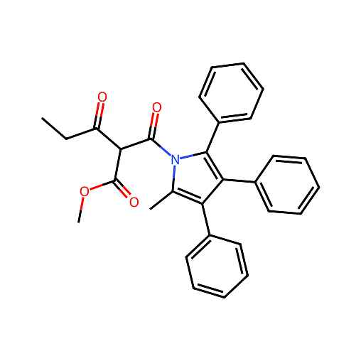 CCC(=O)C(C(=O)OC)C(=O)n1c(C)c(-c2ccccc2)c(-c2ccccc2)c1-c1ccccc1